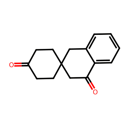 O=C1CCC2(CC1)CC(=O)c1ccccc1C2